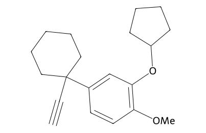 C#CC1(c2ccc(OC)c(OC3CCCC3)c2)CCCCC1